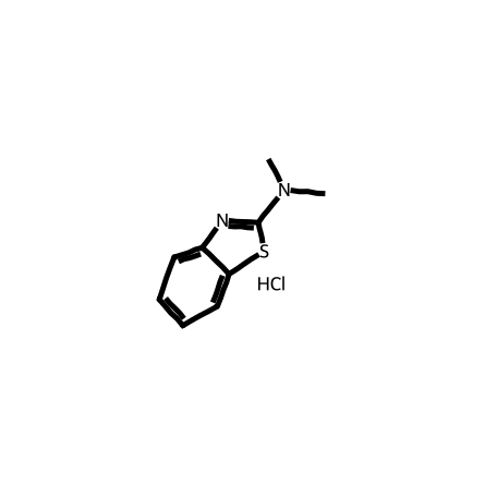 CN(C)c1nc2ccccc2s1.Cl